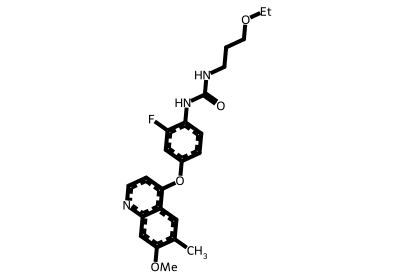 CCOCCCNC(=O)Nc1ccc(Oc2ccnc3cc(OC)c(C)cc23)cc1F